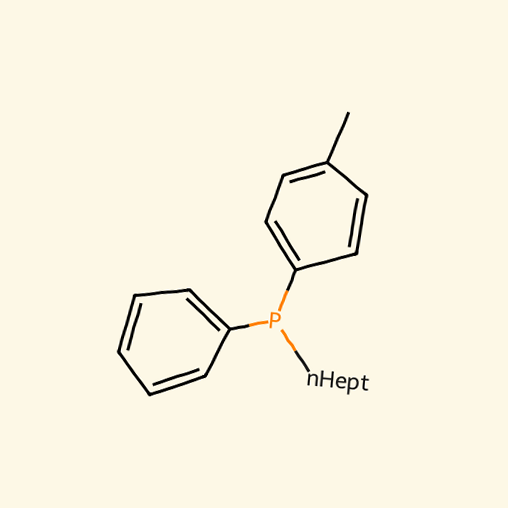 CCCCCCCP(c1ccccc1)c1ccc(C)cc1